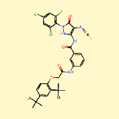 CCC(C)(C)c1ccc(OCC(=O)Nc2cccc(C(=O)Nc3[nH]n(-c4c(Cl)cc(Cl)cc4Cl)c(=O)c3N=C=S)c2)c(C(C)(C)CC)c1